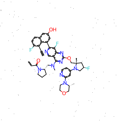 C#Cc1c(F)ccc2cc(O)cc(-c3ncc4c(N(C)C[C@@H]5CCCN5C(=O)C=C)nc(OC[C@]5(C)C[C@@H](F)CN5c5ccnc(N6CCOC[C@H]6C)c5)nc4c3F)c12